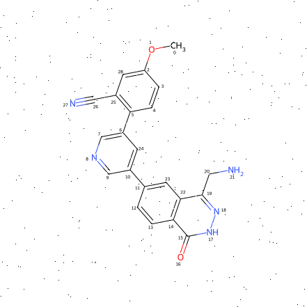 COc1ccc(-c2cncc(-c3ccc4c(=O)[nH]nc(CN)c4c3)c2)c(C#N)c1